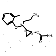 CCC[C@H](Oc1ccccc1I)[C@@H]1C[C@@H]1OC(N)=O